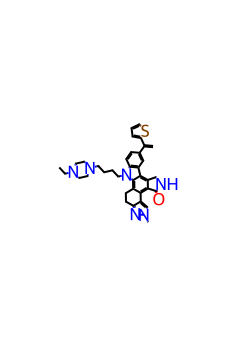 C=C(c1ccc2c(c1)c1c3c(c4c(c1n2CCCCN1CCN(CC)CC1)CCc1nn(C)cc1-4)C(=O)NC3)c1cccs1